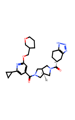 O=C(c1cc(OCC2CCCOC2)nc(C2CC2)c1)N1CC2CN(C(=O)[C@@H]3CCc4[nH]nnc4C3)C[C@H]2C1